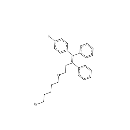 BrCCCCCOCCC(=C(c1ccccc1)c1ccc(I)cc1)c1ccccc1